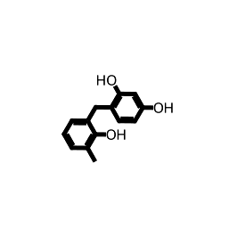 Cc1cccc(Cc2ccc(O)cc2O)c1O